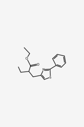 CCOC(=O)C(CC)Cc1csc(-c2ccccc2)n1